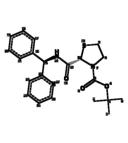 CC(C)(C)OC(=O)N1CCS[C@H]1C(=O)N[C@H](c1ccccc1)c1ccccn1